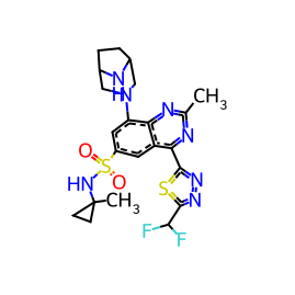 Cc1nc(-c2nnc(C(F)F)s2)c2cc(S(=O)(=O)NC3(C)CC3)cc(N3CC4CCC(C3)N4)c2n1